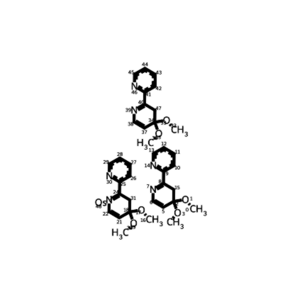 COC1(OC)C=CN=C(c2ccccn2)C1.COC1(OC)C=CN=C(c2ccccn2)C1.COC1(OC)C=CN=C(c2ccccn2)C1.[Os]